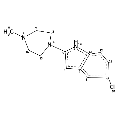 CN1CCN(c2cc3cc(Cl)ccc3[nH]2)CC1